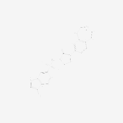 O=C1[C@@H](NS(=O)(=O)c2ccc3c(Cl)c[nH]c3c2)CCN1c1ccc2c(c1)CCNCC2